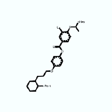 CCCCCCC(C)Oc1ccc(C(=O)Oc2ccc(OCCCC3CCCCC3CCCCC)cc2)cc1Cl